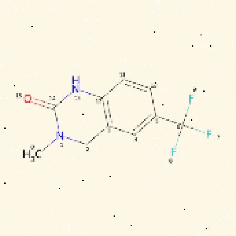 CN1Cc2cc(C(F)(F)F)ccc2NC1=O